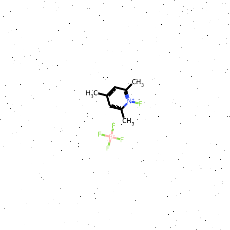 Cc1cc(C)[n+](F)c(C)c1.F[B-](F)(F)F